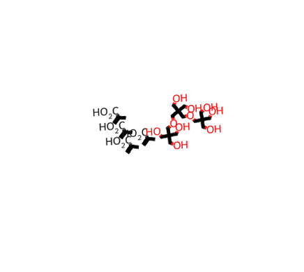 C=C(C)C(=O)O.C=C(C)C(=O)O.C=C(C)C(=O)O.C=C(C)C(=O)O.OCC(CO)(CO)COCC(CO)(CO)COCC(CO)(CO)CO